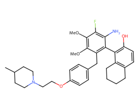 COc1c(F)c(N)c(-c2c(O)ccc3c2CCCC3)c(Cc2ccc(OCCN3CCC(C)CC3)cc2)c1OC